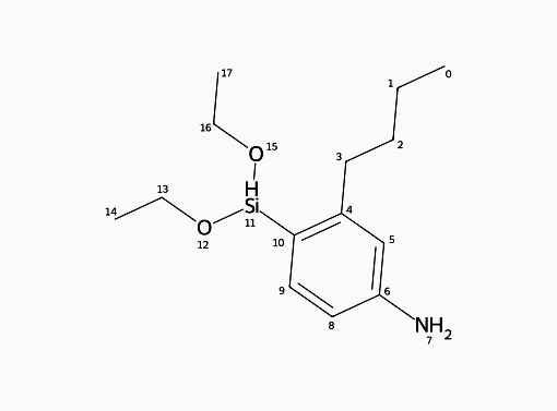 CCCCc1cc(N)ccc1[SiH](OCC)OCC